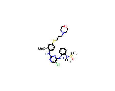 COc1cc(SCCCN2CCOCC2)ccc1Nc1ncc(Cl)c(Nc2ccccc2N(C)[S+](C)[O-])n1